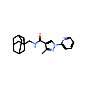 Cc1nn(-c2ccccn2)cc1C(=O)NCC12CC3CC(CC(C3)C1)C2